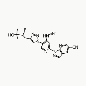 CC(C)Nc1cc(-n2ncc3cc(C#N)cnc32)ncc1-n1cc(CC(F)C(C)(C)O)nn1